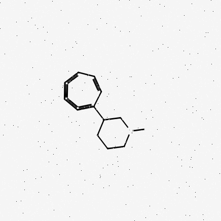 CN1CCCC(C2=C=C=C=CC=C2)C1